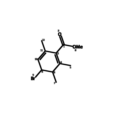 COC(=O)C1=C(C)C(C)C(Br)C=C1C